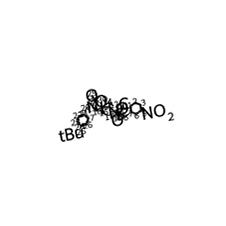 Cc1ccc([N+](=O)[O-])cc1CS(=O)(=O)N1CCC2(CC1)CN(Cc1ccc(C(C)(C)C)cc1)C(=O)O2